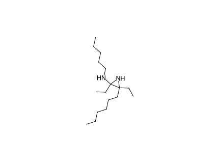 CCCCCCC1(CC)NC1(CC)NCCCCC